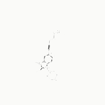 Cn1c(=O)n(N2CCCCC2)c2ccc(C#CCCCN)cc21